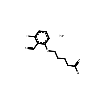 O=Cc1c(O)cccc1OCCCCC(=O)[O-].[Na+]